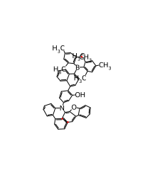 Cc1cc(C)c(B(c2c(C)cc(C)cc2C)c2ccc(-c3ccc(N(c4ccccc4-c4ccccc4)c4cccc5c4oc4ccccc45)cc3O)c3ccccc23)c(C)c1